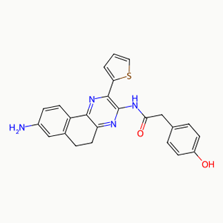 Nc1ccc2c(c1)CCc1nc(NC(=O)Cc3ccc(O)cc3)c(-c3cccs3)nc1-2